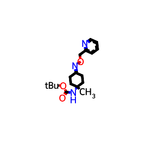 CC1(NC(=O)OC(C)(C)C)CCC(=NOCc2ccccn2)CC1